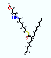 CCCCCCCCC(CCCCCC)C(=O)SCCCCCCNCCCOC